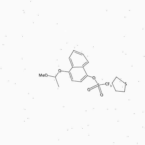 C1CCSC1.COC(C)Oc1ccc(OS(=O)(=O)C(F)(F)F)c2ccccc12